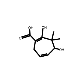 CC1(C)C(O)=C(C(=O)O)CC=CC1O